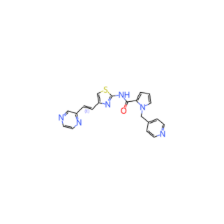 O=C(Nc1nc(/C=C/c2cnccn2)cs1)c1cccn1Cc1ccncc1